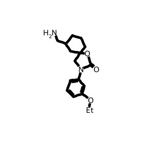 CCOc1cccc(N2CC3(CCCC(CN)C3)OC2=O)c1